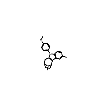 COc1ccc(-n2c3c(c4cc(C)ccc42)C2CCC(C3)N2C)cc1